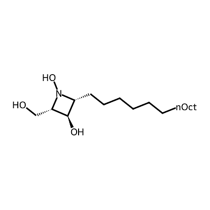 CCCCCCCCCCCCCC[C@@H]1[C@@H](O)[C@H](CO)N1O